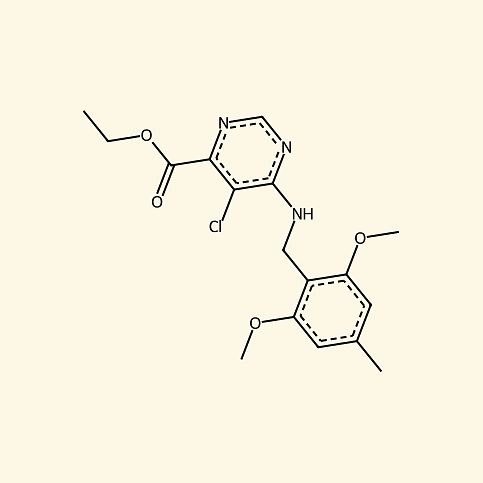 CCOC(=O)c1ncnc(NCc2c(OC)cc(C)cc2OC)c1Cl